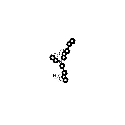 CC1(C)c2ccccc2-c2ccc(-c3ccc(N(c4ccc5c(c4)C(C)(C)c4cc(-c6ccc7ccccc7c6)ccc4-5)c4ccc5ccccc5c4)cc3)cc21